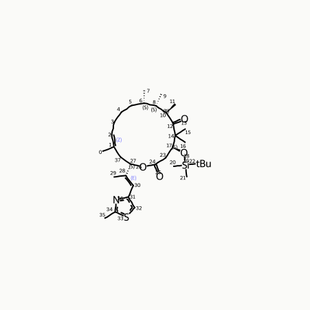 C/C1=C/CCC[C@H](C)[C@H](C)[C@@H](C)C(=O)C(C)(C)[C@@H](O[Si](C)(C)C(C)(C)C)CC(=O)O[C@H](/C(C)=C/c2csc(C)n2)C1